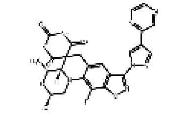 C[C@@H]1CN2c3c(cc4c(-n5cc(-c6cnccn6)cn5)noc4c3F)CC3(C(=O)NC(=O)NC3=O)[C@H]2[C@H](C)O1